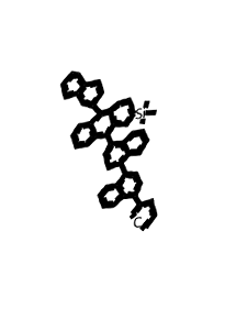 C[Si](C)(C)c1ccc2c(-c3ccc4ccccc4c3)c3ccccc3c(-c3ccc(-c4ccc(-c5ccccc5)c5ccccc45)c4ccccc34)c2c1